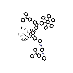 CCCCC(CC)CC1(CC(CC)CCCC)c2ccc(-c3cccc(/C=C/c4ccc(/C=C/c5ccccc5-c5ccc(N(c6ccccc6)c6ccccc6)cc5)cc4)c3)cc2-c2cc(-c3ccc4c(c3)c3cc(-c5ccc(N(c6ccccc6)c6ccccc6)cc5)ccc3n4-c3ccc(-c4c(-c5ccccc5)c(-c5ccccc5)c(-c5ccccc5)c(-c5ccccc5)c4-c4ccccc4)cc3)ccc21